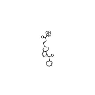 O=C(/C=C/c1ccc2c(ccn2C(=O)c2ccccc2)c1)NO